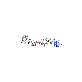 C(=Cc1nc(COc2ccc(CCCn3ccnn3)cc2)co1)c1ccccc1